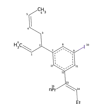 C=CC(C/C=C\C)c1cc(I)cc(/C(=C/CC)CCC)c1